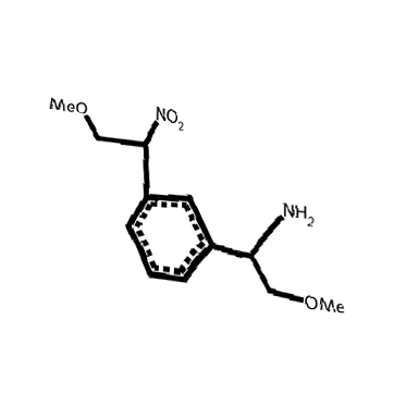 COCC(N)c1cccc(C(COC)[N+](=O)[O-])c1